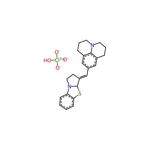 C(=C1CCN2c3ccccc3SC12)c1cc2c3c(c1)CCCN3CCC2.[O-][Cl+3]([O-])([O-])O